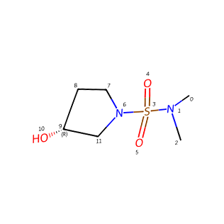 CN(C)S(=O)(=O)N1CC[C@@H](O)C1